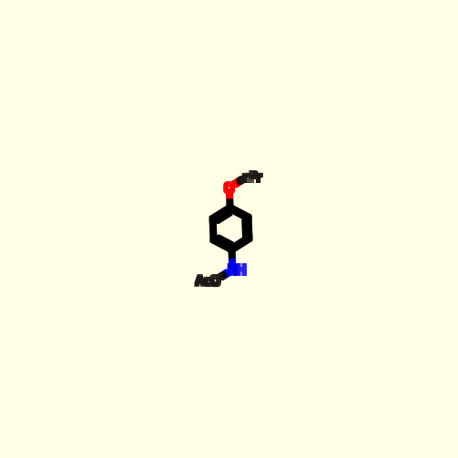 [CH2]CCOc1ccc(NOC(C)=O)cc1